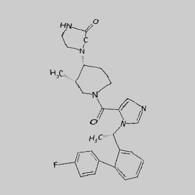 C[C@H]1CN(C(=O)c2cncn2[C@@H](C)c2ccccc2-c2ccc(F)cc2)CC[C@H]1N1CCNC(=O)C1